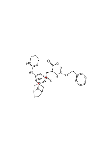 O=C(C[C@H](NC(=O)OCc1ccccc1)C(=O)O)NC1CC2CCC(C1)N2c1cccc(NC2=NCCCN2)c1